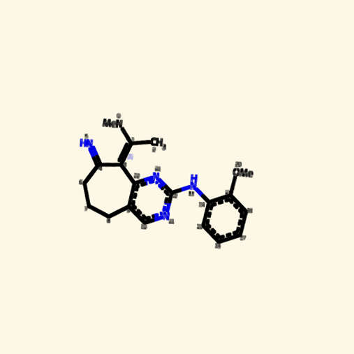 CN/C(C)=C1\C(=N)CCCc2cnc(Nc3ccccc3OC)nc21